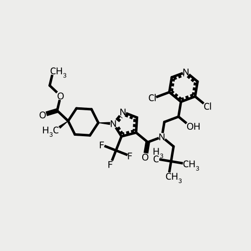 CCOC(=O)[C@]1(C)CC[C@@H](n2ncc(C(=O)N(CC(O)c3c(Cl)cncc3Cl)CC(C)(C)C)c2C(F)(F)F)CC1